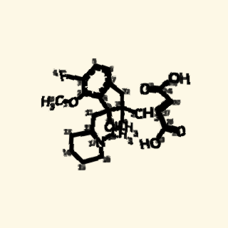 COc1c(F)ccc2c1C(O)(CC1CCCCN1C)C(C)(C)C2.O=C(O)/C=C/C(=O)O